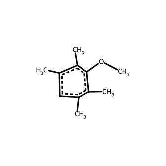 COc1c(C)c(C)cc(C)c1C